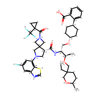 CCC1(CO[C@H](C)[C@@H](CO[C@H]2CC[C@H](c3ccccc3C(=O)O)CC2)NC(=O)[C@@H]2CN(c3cc(F)cc4ncsc34)CC23CN(C(=O)C2(C(F)(F)F)CC2)C3)CCC(C)OC1